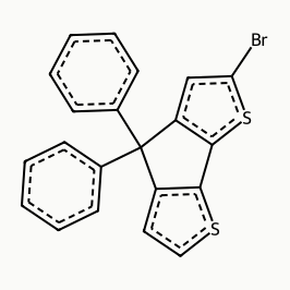 Brc1cc2c(s1)-c1sccc1C2(c1ccccc1)c1ccccc1